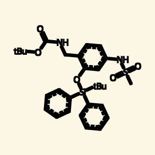 CC(C)(C)OC(=O)NCc1ccc(NS(C)(=O)=O)cc1O[Si](c1ccccc1)(c1ccccc1)C(C)(C)C